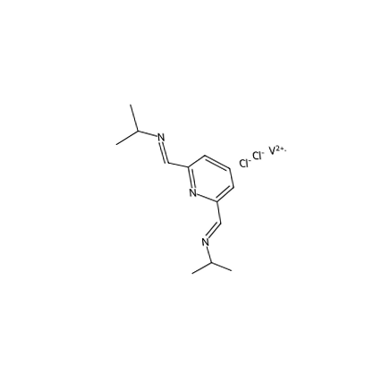 CC(C)N=Cc1cccc(C=NC(C)C)n1.[Cl-].[Cl-].[V+2]